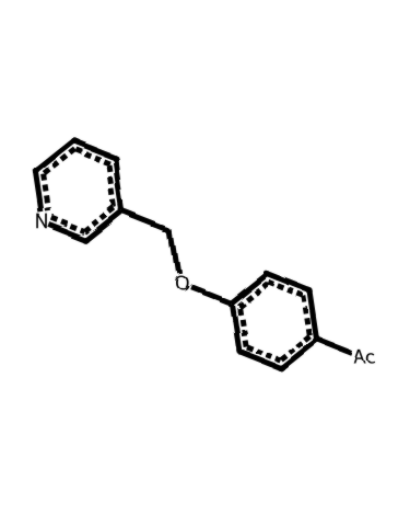 CC(=O)c1ccc(OCc2cccnc2)cc1